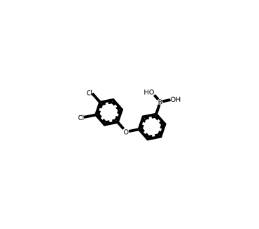 OB(O)c1cccc(Oc2ccc(Cl)c(Cl)c2)c1